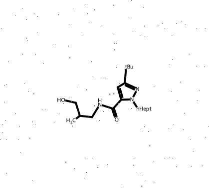 CCCCCCCn1nc(C(C)(C)C)cc1C(=O)NCC(C)CO